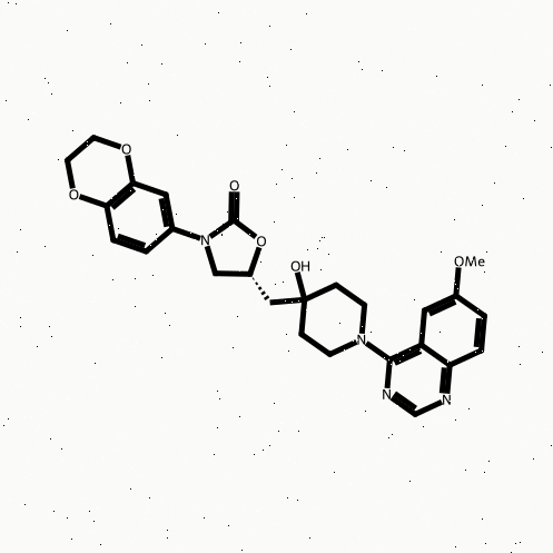 COc1ccc2ncnc(N3CCC(O)(C[C@@H]4CN(c5ccc6c(c5)OCCO6)C(=O)O4)CC3)c2c1